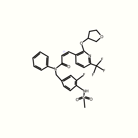 CS(=O)(=O)Nc1ccc(CN(C(=O)/C=C\c2ccc(C(F)(F)F)nc2OC2CCOC2)c2ccccc2)cc1F